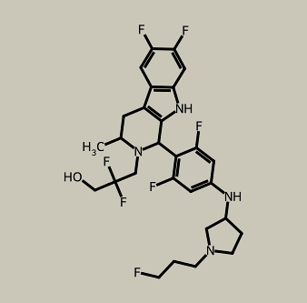 CC1Cc2c([nH]c3cc(F)c(F)cc23)C(c2c(F)cc(NC3CCN(CCCF)C3)cc2F)N1CC(F)(F)CO